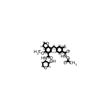 COc1c(C(=O)N[C@H]2CCOC[C@@H]2O)cc(Cc2ccc(C(=O)NOC(C)=O)c(F)c2)c2c1CCO2